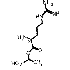 CC(OC(=O)[C@@H](N)CCCNC(=N)N)C(=O)O